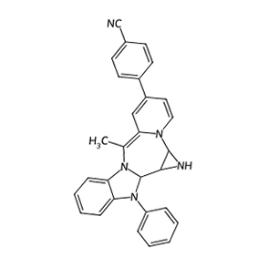 CC1=C2C=C(c3ccc(C#N)cc3)C=CN2C2NC2C2N1c1ccccc1N2c1ccccc1